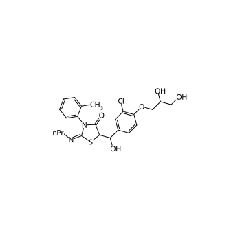 CCC/N=C1/SC(C(O)c2ccc(OCC(O)CO)c(Cl)c2)C(=O)N1c1ccccc1C